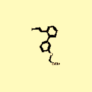 COCOc1cccc(-c2ccccc2C=CI)c1